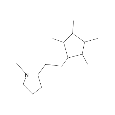 CC1C(C)C(C)C(CCC2CCCN2C)C1C